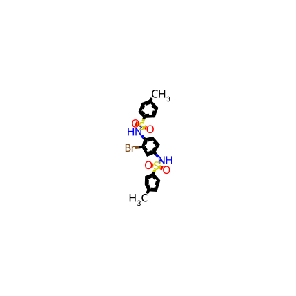 Cc1ccc(S(=O)(=O)Nc2ccc(NS(=O)(=O)c3ccc(C)cc3)c(Br)c2)cc1